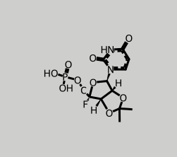 CC1(C)O[C@H]2[C@H](n3ccc(=O)[nH]c3=O)O[C@](F)(COP(=O)(O)O)[C@H]2O1